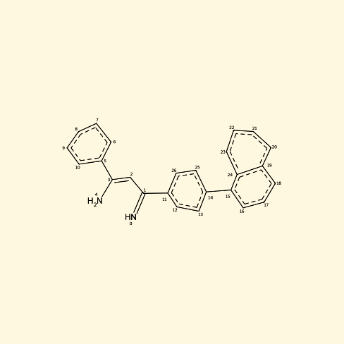 N=C(/C=C(\N)c1ccccc1)c1ccc(-c2cccc3ccccc23)cc1